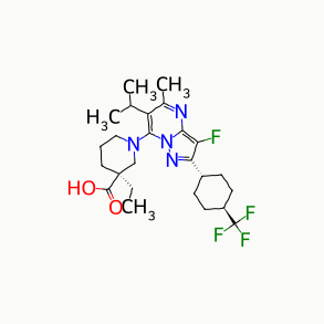 CC[C@]1(C(=O)O)CCCN(c2c(C(C)C)c(C)nc3c(F)c([C@H]4CC[C@H](C(F)(F)F)CC4)nn23)C1